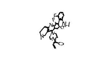 C=CC(=O)N1CCN(c2c3c(nc4c(F)c(-c5c(O)cccc5F)c(Cl)cc24)CCN(C)C3)CC1